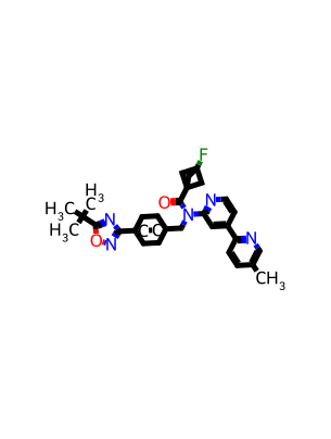 Cc1ccc(-c2ccnc(N(CC34CCC(c5noc(C(C)(C)C)n5)(CC3)CC4)C(=O)C34CC(F)(C3)C4)c2)nc1